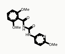 COc1ccc(NC(=O)NC(=O)c2c(OC)cccc2OC)cn1